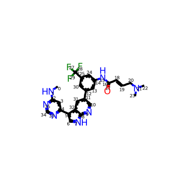 CNc1cc(-c2c[nH]c3ncc(-c4cc(NC(=O)/C=C/CN(C)C)cc(C(F)(F)F)c4)cc23)ncn1